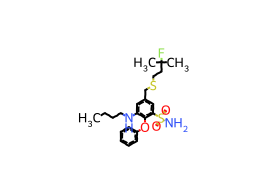 CCCCNc1cc(CSCCC(C)(C)F)cc(S(N)(=O)=O)c1Oc1ccccc1